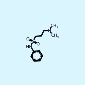 CN(C)CCCS(=O)(=O)Nc1ccccc1